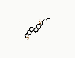 CCCCc1cc2cc3ccc4c5cc6sccc6cc5ccc4c3cc2s1